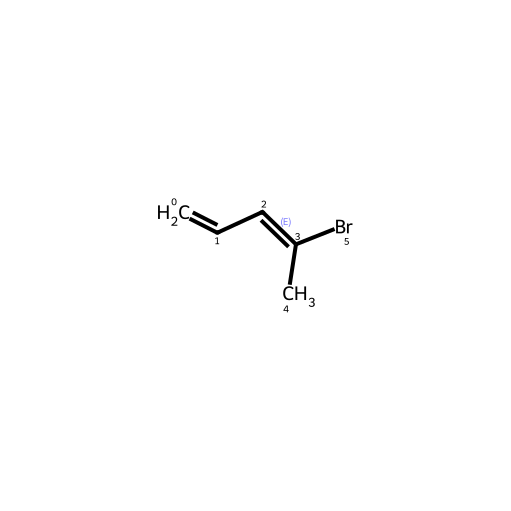 C=C/C=C(\C)Br